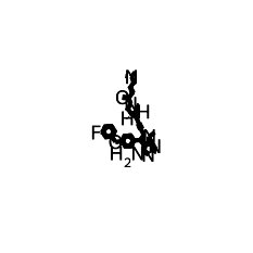 CN(C)C/C=C/C(=O)N1C[C@@H]2C(C#Cc3c(-c4ccc(Oc5cccc(F)c5)cc4)c4c(N)ncnc4n3C)[C@@H]2C1